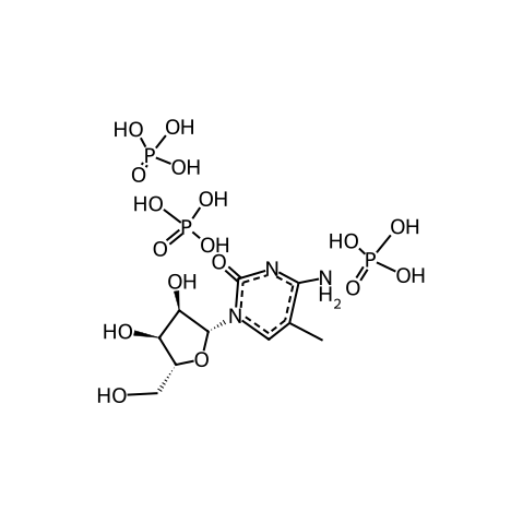 Cc1cn([C@@H]2O[C@H](CO)[C@@H](O)[C@H]2O)c(=O)nc1N.O=P(O)(O)O.O=P(O)(O)O.O=P(O)(O)O